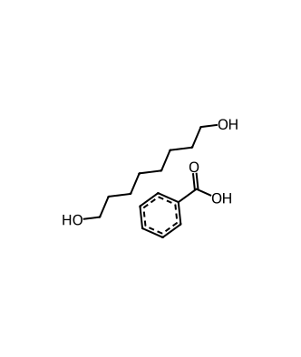 O=C(O)c1ccccc1.OCCCCCCCCO